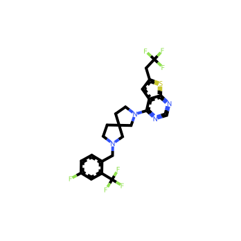 Fc1ccc(CN2CCC3(CCN(c4ncnc5sc(CC(F)(F)F)cc45)C3)C2)c(C(F)(F)F)c1